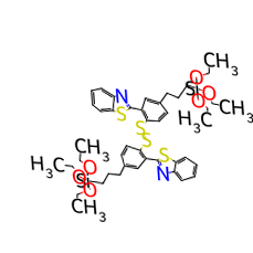 CCO[Si](CCCc1ccc(SSc2ccc(CCC[Si](OCC)(OCC)OCC)cc2-c2nc3ccccc3s2)c(-c2nc3ccccc3s2)c1)(OCC)OCC